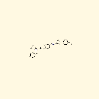 CC(C)c1ccc(C(F)(F)F)cc1N1C(=O)CS/C1=N\C(=O)Nc1ccc(/C=C/c2ncn(-c3ccc(OC(F)(F)F)cc3)n2)cc1F